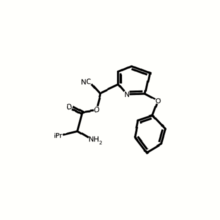 CC(C)C(N)C(=O)OC(C#N)c1cccc(Oc2ccccc2)n1